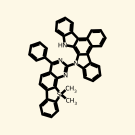 C[Si]1(C)c2ccccc2-c2ccc3c(-c4ccccc4)nc(-n4c5ccccc5c5c6ccccc6c6c7ccccc7[nH]c6c54)nc3c21